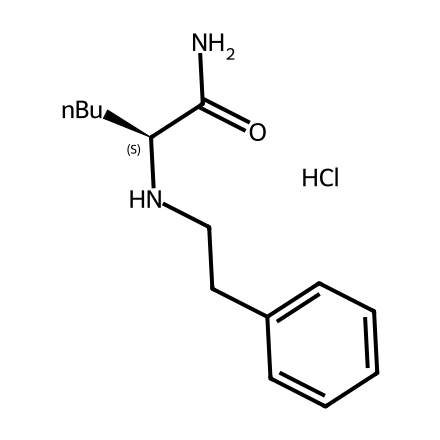 CCCC[C@H](NCCc1ccccc1)C(N)=O.Cl